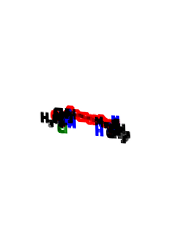 CCCC(c1ccc(OCC(=O)NCCOCCOCCOCCOCCOCCNC(=O)c2ccc(-c3ccc4c(c3)[C@H](Nc3ccc(Cl)cc3)C[C@H](C)N4C(C)=O)cc2)cc1)N(C(=O)/C(C#N)=C/c1nccs1)C(C)C